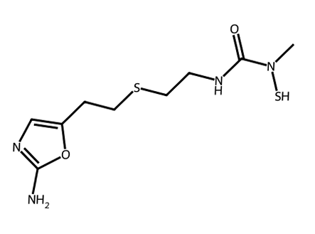 CN(S)C(=O)NCCSCCc1cnc(N)o1